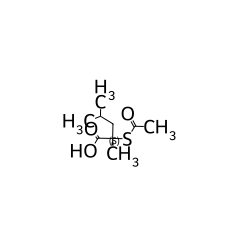 CC(=O)S[C@@](C)(CC(C)C)C(=O)O